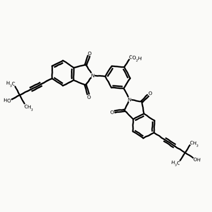 CC(C)(O)C#Cc1ccc2c(c1)C(=O)N(c1cc(C(=O)O)cc(N3C(=O)c4ccc(C#CC(C)(C)O)cc4C3=O)c1)C2=O